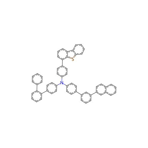 c1ccc(-c2ccccc2-c2ccc(N(c3ccc(-c4cccc(-c5ccc6ccccc6c5)c4)cc3)c3ccc(-c4cccc5c4sc4ccccc45)cc3)cc2)cc1